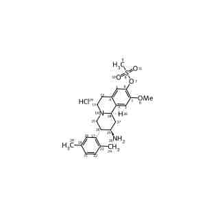 COc1cc2c(cc1OS(C)(=O)=O)CCN1C[C@@H](c3cc(C)ccc3C)[C@H](N)C[C@H]21.Cl